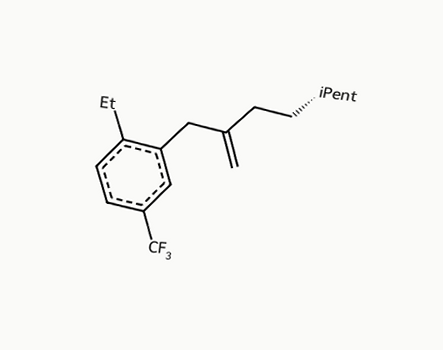 C=C(CC[C@@H](C)CCC)Cc1cc(C(F)(F)F)ccc1CC